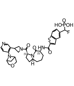 O=C(N[C@H]1CCC[C@H]2CC[C@@H](C(=O)N3CC(c4cnccc4N4C5COCC4C5)C3)N2C1=O)c1cc2cc(C(F)P(=O)(O)O)ccc2s1